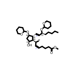 CCCCC[C@@H](/C=C/[C@@H]1[C@@H](C(F)/C=C\CCCC(=O)OC)[C@@H](O)C[C@H]1OC1CCCCO1)OC1CCCCO1